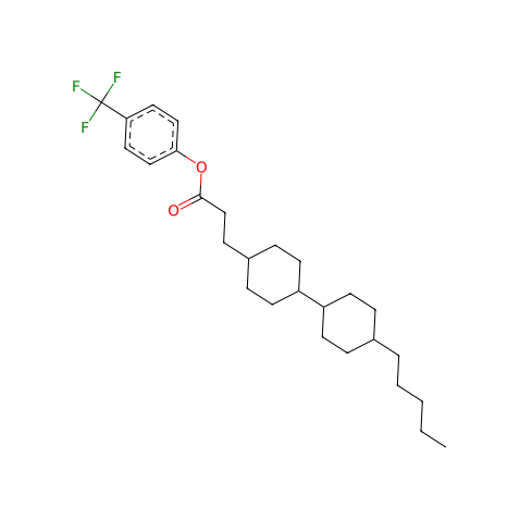 CCCCCC1CCC(C2CCC(CCC(=O)Oc3ccc(C(F)(F)F)cc3)CC2)CC1